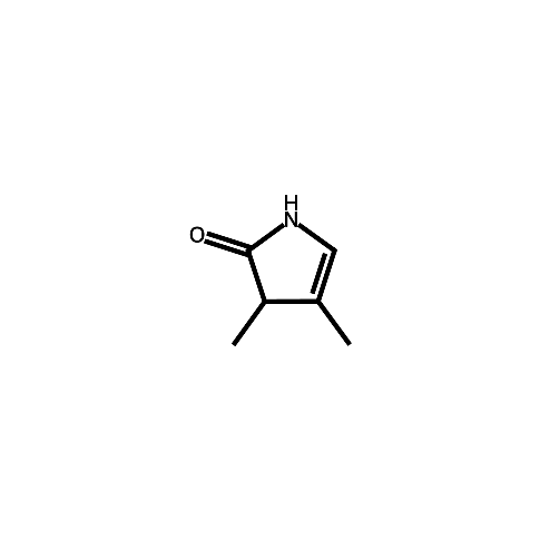 CC1=CNC(=O)C1C